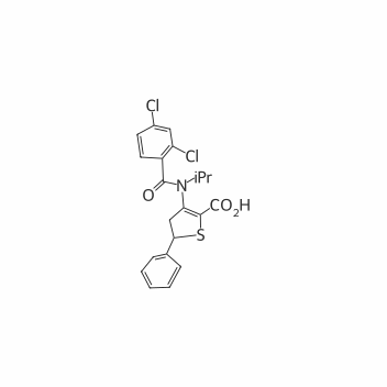 CC(C)N(C(=O)c1ccc(Cl)cc1Cl)C1=C(C(=O)O)SC(c2ccccc2)C1